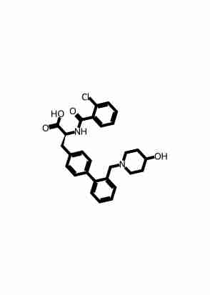 O=C(N[C@@H](Cc1ccc(-c2ccccc2CN2CCC(O)CC2)cc1)C(=O)O)c1ccccc1Cl